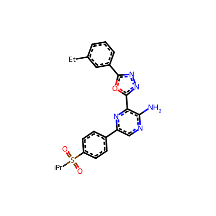 CCc1cccc(-c2nnc(-c3nc(-c4ccc(S(=O)(=O)C(C)C)cc4)cnc3N)o2)c1